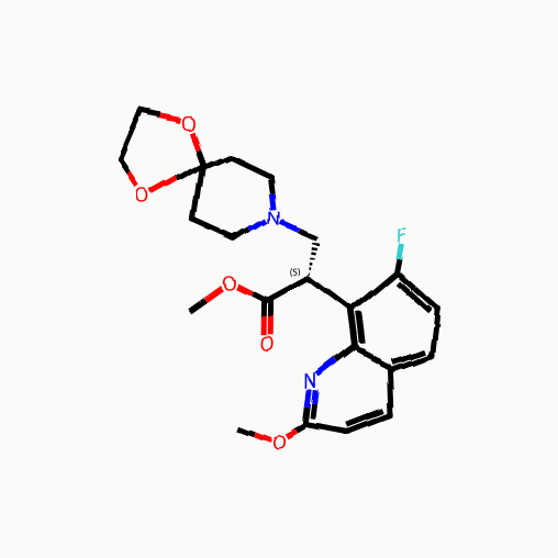 COC(=O)[C@H](CN1CCC2(CC1)OCCO2)c1c(F)ccc2ccc(OC)nc12